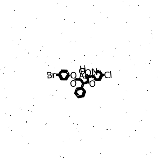 O=C(Oc1ccc(Br)cc1)C1C(c2ccccc2)C2Oc3cc(Cl)cnc3C2(O)[AsH]1=O